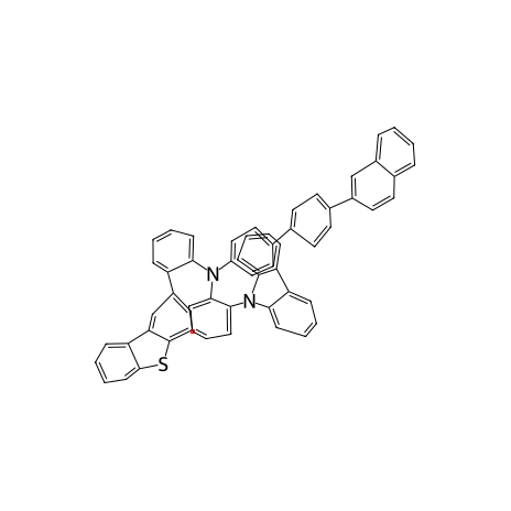 c1ccc(N(c2ccc(-c3ccc(-c4ccc5ccccc5c4)cc3)cc2)c2ccccc2-n2c3ccccc3c3ccccc32)c(-c2ccc3sc4ccccc4c3c2)c1